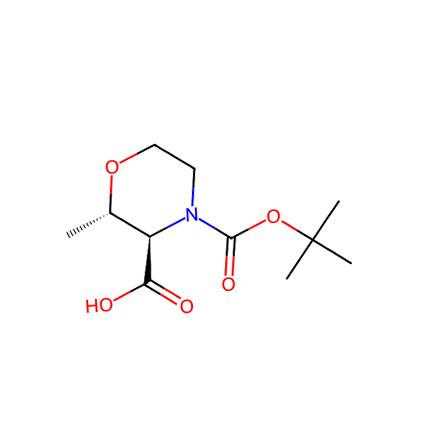 C[C@@H]1OCCN(C(=O)OC(C)(C)C)[C@H]1C(=O)O